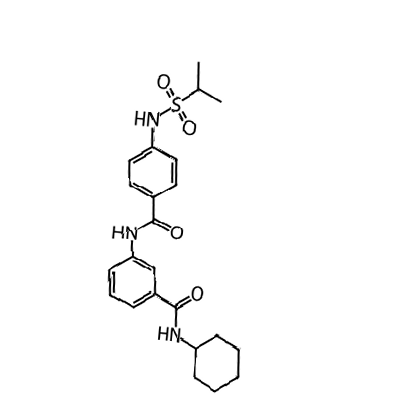 CC(C)S(=O)(=O)Nc1ccc(C(=O)Nc2cccc(C(=O)NC3CCCCC3)c2)cc1